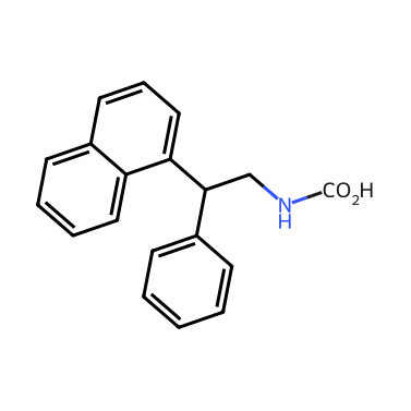 O=C(O)NCC(c1ccccc1)c1cccc2ccccc12